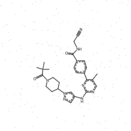 Cc1cnc(Nc2cnn(C3CCN(C(=O)C(C)(C)C)CC3)c2)nc1-c1ccc(C(=O)NCC#N)cc1